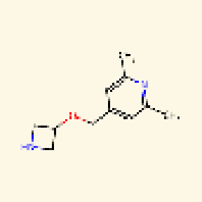 Cc1cc(COC2CNC2)cc(C)n1